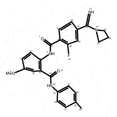 COc1ccc(NC(=O)c2ccc(C(=N)N3CCC3)cc2F)c(C(=O)Nc2ccc(C)cc2)c1